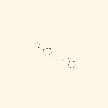 N#CC1(Cc2cc(F)ccc2Cl)CCN(c2ccc(-c3nnc(CO)o3)nn2)CC1